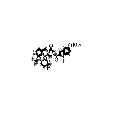 COc1ccc2[nH]c(C(=O)N3CC(=O)N(Cc4cccc(OC(F)F)c4)[C@@H](CN4CCCC(F)(F)C4)C3)cc2c1